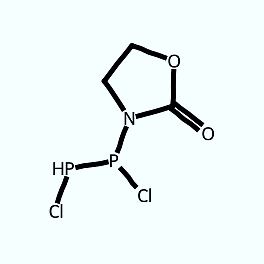 O=C1OCCN1P(Cl)PCl